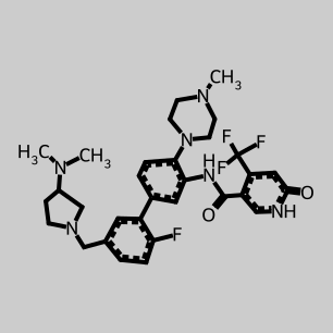 CN1CCN(c2ccc(-c3cc(CN4CCC(N(C)C)C4)ccc3F)cc2NC(=O)c2c[nH]c(=O)cc2C(F)(F)F)CC1